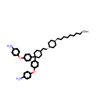 CCCCCCCCCCCCCCCCCC[C@H]1CC[C@H](CCC2CCC(c3ccc(Oc4ccc(N)cc4)cc3)(c3ccc(Oc4ccc(N)cc4)cc3)CC2)CC1